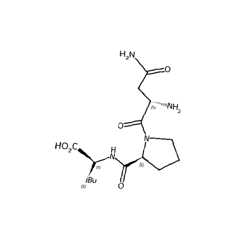 CC[C@H](C)[C@H](NC(=O)[C@@H]1CCCN1C(=O)[C@@H](N)CC(N)=O)C(=O)O